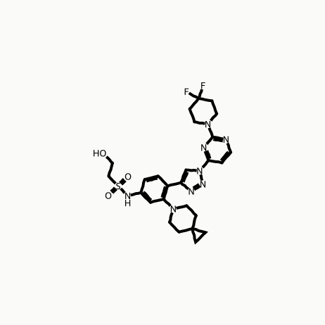 O=S(=O)(CCO)Nc1ccc(-c2cn(-c3ccnc(N4CCC(F)(F)CC4)n3)nn2)c(N2CCC3(CC2)CC3)c1